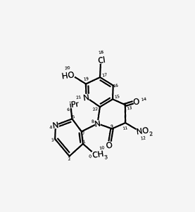 Cc1ccnc(C(C)C)c1N1C(=O)C([N+](=O)[O-])C(=O)c2cc(Cl)c(O)nc21